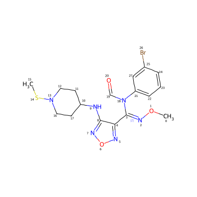 CO/N=C(/c1nonc1NC1CCN(SC)CC1)N(C=O)c1cccc(Br)c1